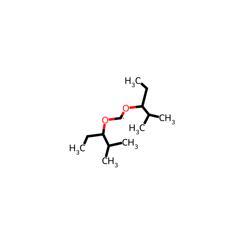 CCC(O[CH]OC(CC)C(C)C)C(C)C